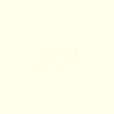 CNC(=O)c1cccc(C2=C(C(=O)[O-])N3C(=O)[C@H]([C@@H](C)O)[C@H]3C2)c1.[Na+]